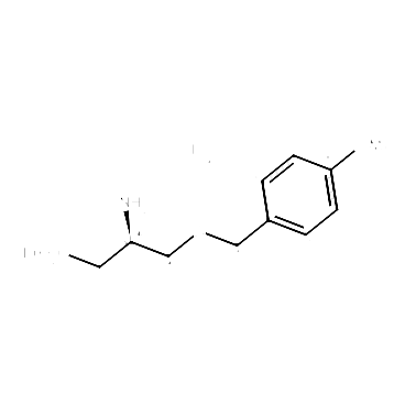 CCOC(=O)C[C@@H](N)CSCc1ccc(OC)cc1.Cl